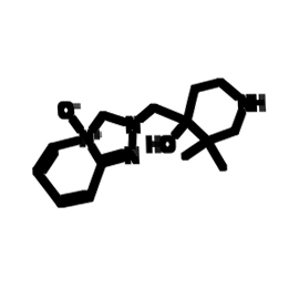 CC1(C)CNCCC1(O)CN1C[N+]2([O-])C=CC=CC2=N1